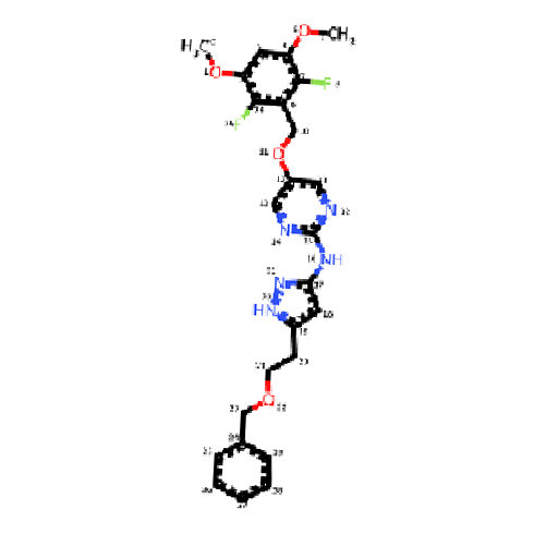 COc1cc(OC)c(F)c(COc2cnc(Nc3cc(CCOCc4ccccc4)[nH]n3)nc2)c1F